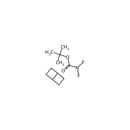 C1CC2CCC12.CC(C)(C)OC(=O)N(F)F